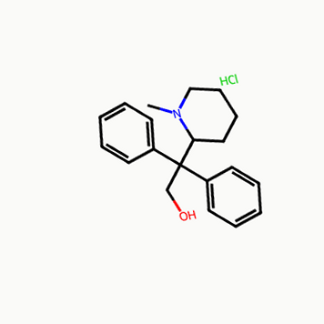 CN1CCCCC1C(CO)(c1ccccc1)c1ccccc1.Cl